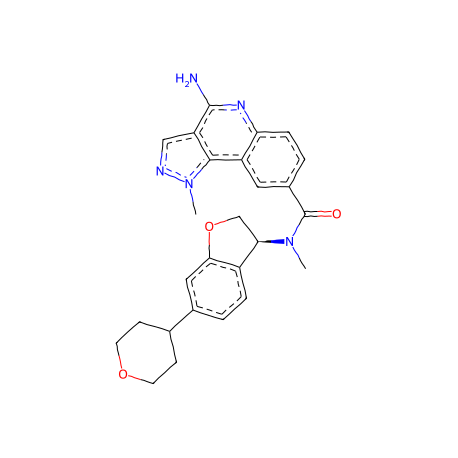 CN(C(=O)c1ccc2nc(N)c3cnn(C)c3c2c1)[C@@H]1COc2cc(C3CCOCC3)ccc21